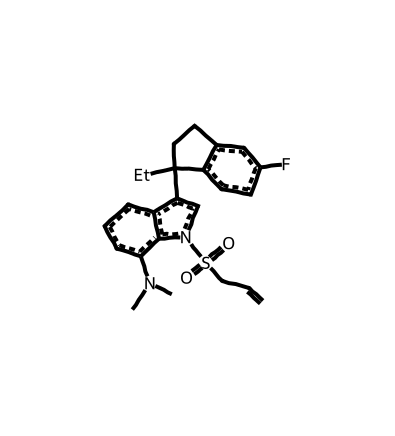 C=CCS(=O)(=O)n1cc(C2(CC)CCc3cc(F)ccc32)c2cccc(N(C)C)c21